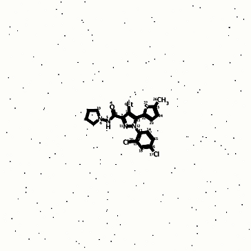 CCc1c(C(=O)NN2CCCC2)nn(-c2ccc(Cl)cc2Cl)c1-c1ccc(C)s1